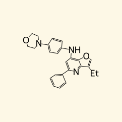 CCc1coc2c(Nc3ccc(N4CCOCC4)cc3)cc(-c3ccccc3)nc12